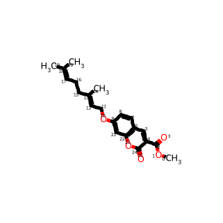 COC(=O)c1cc2ccc(OC/C=C(\C)CCC=C(C)C)cc2oc1=O